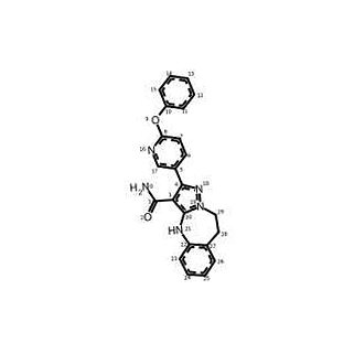 NC(=O)c1c(-c2ccc(Oc3ccccc3)nc2)nn2c1Nc1ccccc1CC2